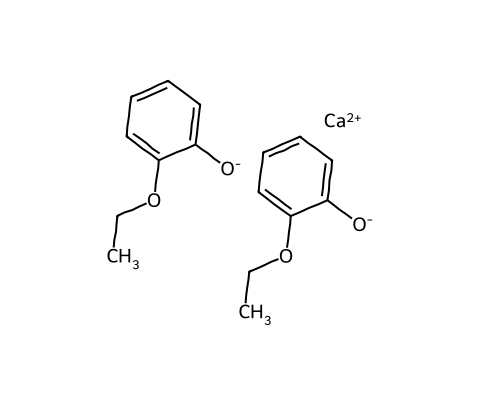 CCOc1ccccc1[O-].CCOc1ccccc1[O-].[Ca+2]